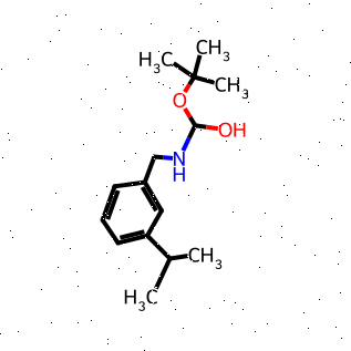 CC(C)c1cccc(CNC(O)OC(C)(C)C)c1